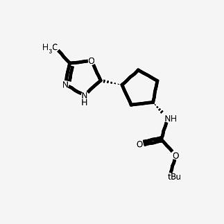 CC1=NNC([C@@H]2CC[C@H](NC(=O)OC(C)(C)C)C2)O1